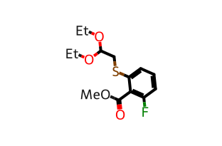 CCOC(CSc1cccc(F)c1C(=O)OC)OCC